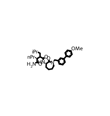 CCC[C@H](C(N)=O)C(CC(C)C)C(=O)N[C@H]1CCCCN(Cc2cccc(-c3ccc(OC)cc3)c2)C1=O